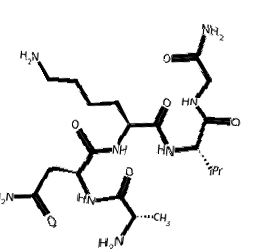 CC(C)[C@H](NC(=O)[C@H](CCCCN)NC(=O)[C@H](CC(N)=O)NC(=O)[C@H](C)N)C(=O)NCC(N)=O